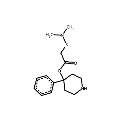 CN(C)SCC(=O)OC1(c2ccccc2)CCNCC1